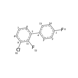 Fc1ccc(-c2[c]ccc(Cl)c2F)cc1